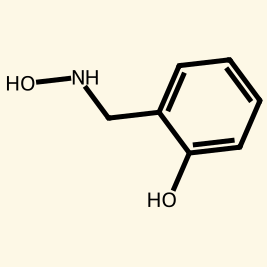 ONCc1ccccc1O